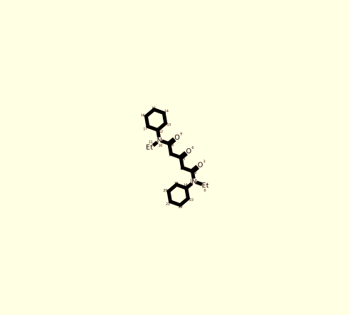 CCN(C(=O)CC(=O)CC(=O)N(CC)C1CCCCC1)C1CCCCC1